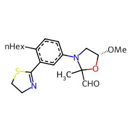 CCCCCCc1ccc(N2C[C@H](OC)OC2(C)C=O)cc1C1=NCCS1